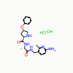 Cc1nc(N)ccc1CNC(=O)[C@H](C)NC(=O)[C@H]1C[C@@H](Oc2ccccc2)CN1.Cl.Cl